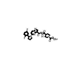 CC(C)(C)OC(=O)N1CCC(C(=O)NNC(=O)c2cnn3ccc(N4CCCC4c4cc(F)ccc4F)nc23)CC1